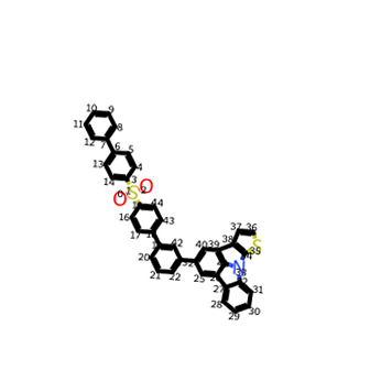 O=S(=O)(c1ccc(-c2ccccc2)cc1)c1ccc(-c2cccc(-c3cc4c5ccccc5n5c6sccc6c(c3)c45)c2)cc1